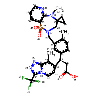 Cc1ccc([C@@H](CC(=O)O)c2ccn3c(C(F)(F)F)nnc3c2C)cc1CN1CC2(CC2)N(C)c2ncccc2S1(=O)=O